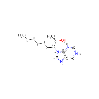 CCCCCC[C@@H]([C@@H](C)O)n1cnc2cncnc21